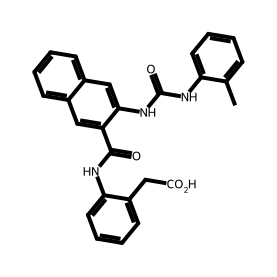 Cc1ccccc1NC(=O)Nc1cc2ccccc2cc1C(=O)Nc1ccccc1CC(=O)O